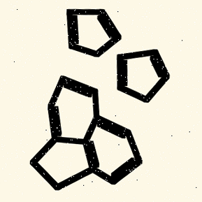 C1=CCC=C1.C1=CCC=C1.c1cc2c3c(cccc3c1)CC2